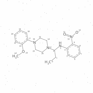 CCC(Nc1ccccc1[N+](=O)[O-])N1CCN(c2ccccc2OC)CC1